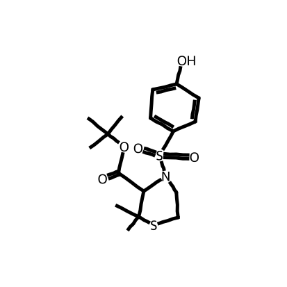 CC(C)(C)OC(=O)C1N(S(=O)(=O)c2ccc(O)cc2)CCSC1(C)C